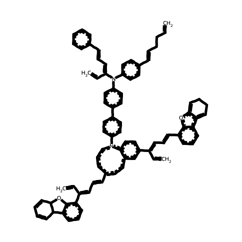 C=CCC/C=C/c1ccc(N(/C(C=C)=C/C=C/c2ccccc2)c2ccc(-c3ccc(-n4cccc(/C=C/C=C(\C=C)c5cccc6c5OC5C=CC=CC65)ccc5cc(/C(C=C)=C/C=C/c6cccc7c8c(oc67)=CCCC=8)ccc54)cc3)cc2)cc1